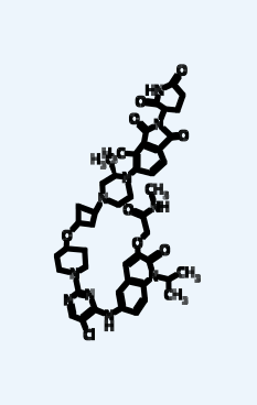 CNC(=O)COc1cc2cc(Nc3nc(N4CCC(OC5CC(N6CCN(c7ccc8c(c7C)C(=O)N(C7CCC(=O)NC7=O)C8=O)[C@H](C)C6)C5)CC4)ncc3Cl)ccc2n(C(C)C)c1=O